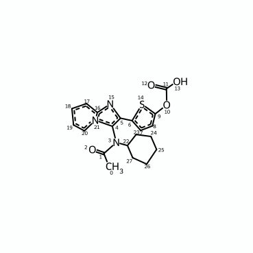 CC(=O)N(c1c(-c2ccc(OC(=O)O)s2)nc2ccccn12)C1CCCCC1